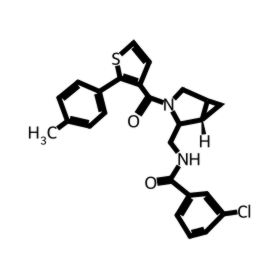 Cc1ccc(-c2sccc2C(=O)N2CC3C[C@@H]3C2CNC(=O)c2cccc(Cl)c2)cc1